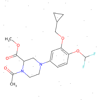 COC(=O)C1CN(c2ccc(OC(F)F)c(OCC3CC3)c2)CCN1C(C)=O